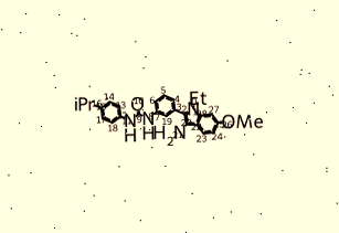 CCn1c(-c2cccc(NC(=O)Nc3ccc(C(C)C)cc3)c2)c(N)c2ccc(OC)cc21